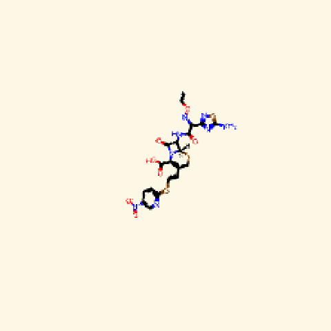 CCON=C(C(=O)NC1C(=O)N2C(C(=O)O)=C(C=CSc3ccc([N+](=O)[O-])cn3)CS[C@@H]12)c1nsc(N)n1